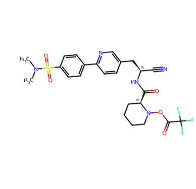 CN(C)S(=O)(=O)c1ccc(-c2ccc(C[C@@H](C#N)NC(=O)[C@@H]3CCCCN3OC(=O)C(F)(F)F)cn2)cc1